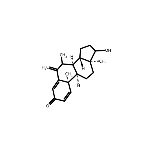 C=C1C2=CC(=O)C=C[C@]2(C)[C@@H]2CC[C@]3(C)C(O)CC[C@H]3[C@@H]2C1C